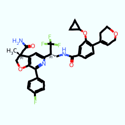 C[C@]1(C(N)=O)COc2c1cc([C@@H](CNC(=O)c1ccc(C3=CCOCC3)c(OC3CC3)c1)C(F)(F)F)nc2-c1ccc(F)cc1